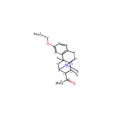 COCOc1ccc2c(c1)C1(C)CC3C(C(=O)OC)C(C)C1C(C2)N3C